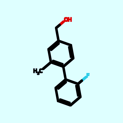 Cc1cc(CO)ccc1-c1ccccc1F